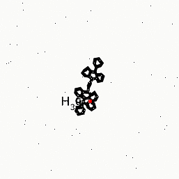 C[Si](c1ccccc1)(c1ccccc1)c1c2ccccc2c(C#Cc2c3ccccc3c(-c3ccccc3)c3ccccc23)c2ccccc12